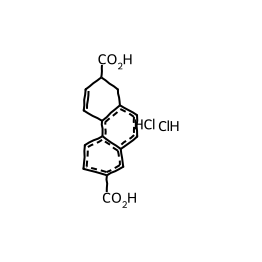 Cl.Cl.O=C(O)c1ccc2c3c(ccc2c1)CC(C(=O)O)C=C3